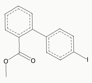 COC(=O)c1ccccc1-c1ccc(I)cc1